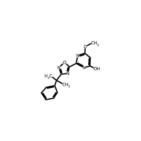 COc1cc(O)nc(-c2nc(C(C)(C)c3ccccc3)no2)n1